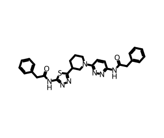 O=C(Cc1ccccc1)Nc1ccc(N2CCCC(c3nnc(NC(=O)Cc4ccccc4)s3)C2)nn1